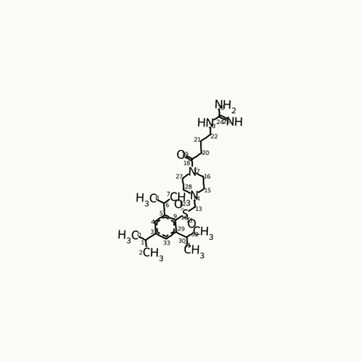 CC(C)c1cc(C(C)C)c(S(=O)(=O)CN2CCN(C(=O)CCCNC(=N)N)CC2)c(C(C)C)c1